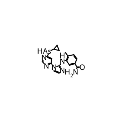 Cc1ccc(C(N)=O)cc1Nc1nccn1-c1cc([AsH]C2CC2)ncn1